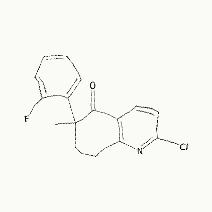 CC1(c2ccccc2F)CCc2nc(Cl)ccc2C1=O